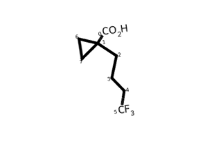 O=C(O)C1(CCCC(F)(F)F)CC1